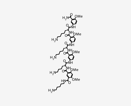 COc1ccc(NC(=O)[C@H](CCCCCN)NC(=O)c2cc(NC(=O)[C@H](CCCCCN)NC(=O)c3cc(NC(=O)[C@H](CCCCN)NC(=O)c4cc(C(=O)NCCCCCN)c(OC)cc4OC)ccc3OC)ccc2OC)cc1C(N)=O